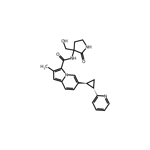 Cc1cc2ccc([C@H]3C[C@@H]3c3ccccn3)cn2c1C(=O)NC1(CO)CCNC1=O